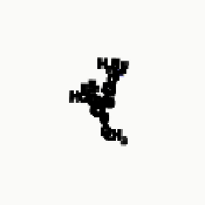 COCCOc1cccc(NC(=O)c2ccc(OC/C(=C/F)CN)cc2)c1.O=C(O)C(F)(F)F